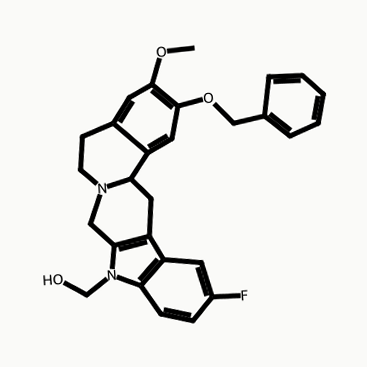 COc1cc2c(cc1OCc1ccccc1)C1Cc3c(n(CO)c4ccc(F)cc34)CN1CC2